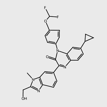 Cn1c(CO)nc2ccc(-c3nc4ccc(C5CC5)cc4n(-c4ccc(OC(F)F)cc4)c3=O)cc21